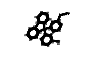 CC(C)Cc1cccc(C2(c3cccc(Br)c3)c3ccccc3-c3ccccc32)c1